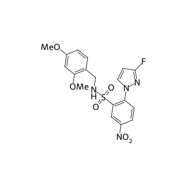 COc1ccc(CNS(=O)(=O)c2cc([N+](=O)[O-])ccc2-n2ccc(F)n2)c(OC)c1